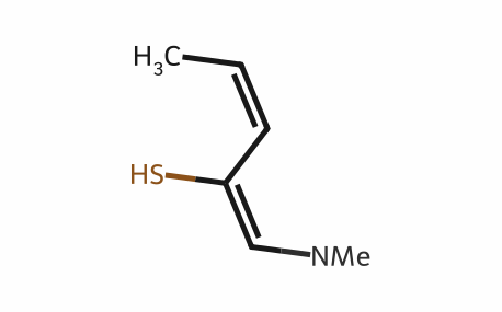 C/C=C\C(S)=C/NC